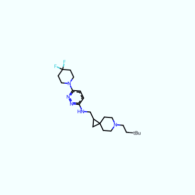 CC(C)(C)CCN1CCC2(CC1)CC2CNc1ccc(N2CCC(F)(F)CC2)nn1